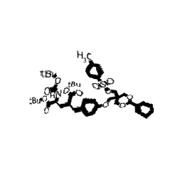 Cc1ccc(S(=O)(=O)OCC2(COc3ccc(C[C@@H](C[C@H](NC(=O)OC(C)(C)C)C(=O)OC(C)(C)C)C(=O)OC(C)(C)C)cc3)COC(c3ccccc3)OC2)cc1